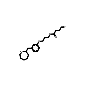 O=C(CCCCl)NCCCOc1cccc(CC2CCCCCN2)c1